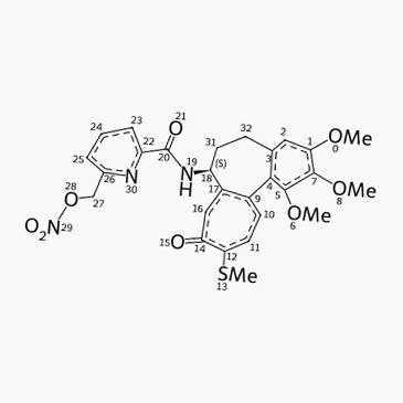 COc1cc2c(c(OC)c1OC)-c1ccc(SC)c(=O)cc1[C@@H](NC(=O)c1cccc(CO[N+](=O)[O-])n1)CC2